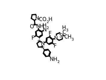 C[Si]1(C)CCN(c2c(F)cc(N3[C@@H](c4ccc(N)cc4)CC[C@@H]3c3cc(N)c(NC(=O)C4CCCN4C(=O)O)cc3F)cc2F)CC1